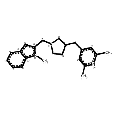 Cc1cc(CC2CCN(Cc3cc4ccccc4n3C)C2)cc(C)n1